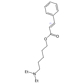 CCN(CC)CCCCCOC(=O)/C=C/c1ccccc1